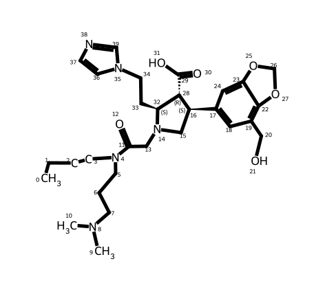 CCCCN(CCCN(C)C)C(=O)CN1C[C@H](c2cc(CO)c3c(c2)OCO3)[C@@H](C(=O)O)[C@@H]1CCn1ccnc1